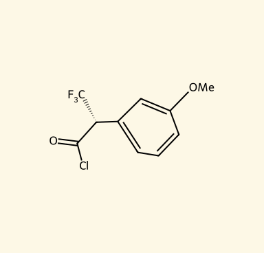 COc1cccc([C@H](C(=O)Cl)C(F)(F)F)c1